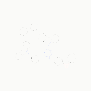 c1ccc(-c2ccc3c(c2)c2ccccc2n3-c2cccc(-c3nc(-c4ccc5oc6ccccc6c5c4)nc(-n4c5ccccc5c5cc(-c6ccccc6)ccc54)n3)c2)cc1